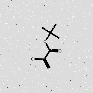 C=C(Cl)C(=O)OC(C)(C)C